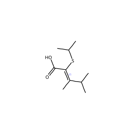 C/C(=C(/SC(C)C)C(=O)O)C(C)C